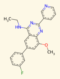 CCNc1nc(-c2cccnc2)nc2c(OC)cc(-c3cccc(F)c3)cc12